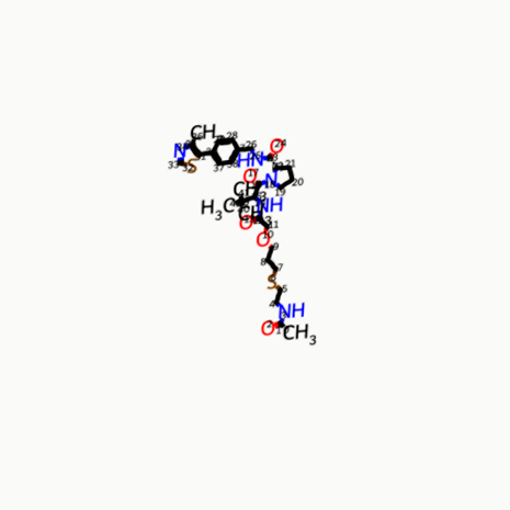 CC(=O)NCCSCCCOCC(=O)NC(C(=O)N1CCC[C@H]1C(=O)NCc1ccc(-c2scnc2C)cc1)C(C)(C)C